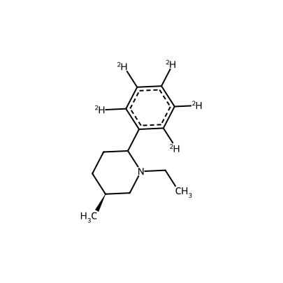 [2H]c1c([2H])c([2H])c(C2CC[C@H](C)CN2CC)c([2H])c1[2H]